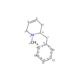 CN1CC=[C]CC1Cc1ccccc1